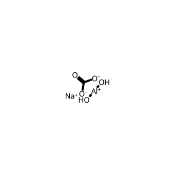 O=C([O-])[O-].[Na+].[OH][Al+][OH]